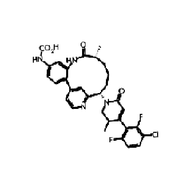 CC1CN([C@H]2CCC[C@@H](C)C(=O)Nc3cc(NC(=O)O)ccc3-c3ccnc2c3)C(=O)C=C1c1c(F)ccc(Cl)c1F